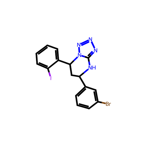 Brc1cccc(C2CC(c3ccccc3I)n3nnnc3N2)c1